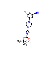 CC(C)(C)OC(=O)N1CC(N2CCN(c3cc(C#N)nc(Cl)n3)CC2)C1